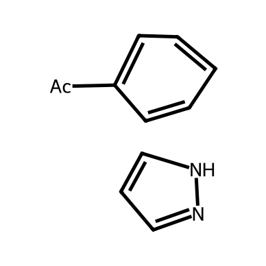 CC(=O)c1ccccc1.c1cn[nH]c1